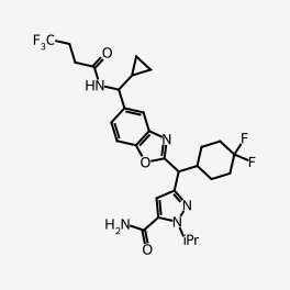 CC(C)n1nc(C(c2nc3cc(C(NC(=O)CCC(F)(F)F)C4CC4)ccc3o2)C2CCC(F)(F)CC2)cc1C(N)=O